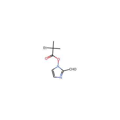 CCC(C)(C)C(=O)On1ccnc1C=O